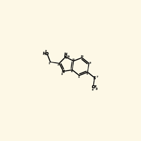 OCc1nc2cc(SC(F)(F)F)ccc2[nH]1